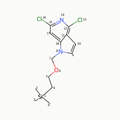 C[Si](C)(C)CCOCn1ccc2c(Cl)nc(Cl)cc21